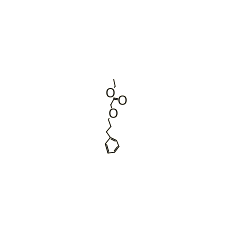 CCOC(=O)COCCCc1ccccc1